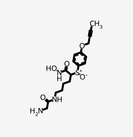 CC#CCOc1ccc([S+]([O-])C(CCCCNC(=O)CN)C(=O)NO)cc1